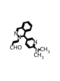 CN(C)c1ccc(C2c3ccccc3C=NN2C=CC=O)cn1